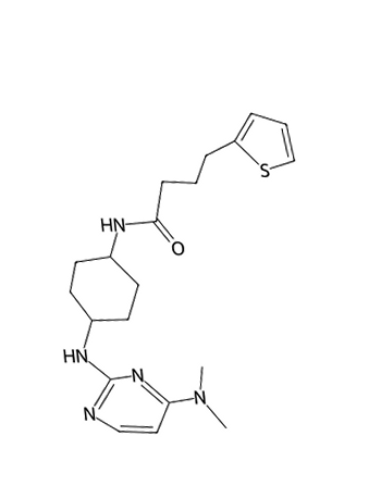 CN(C)c1ccnc(NC2CCC(NC(=O)CCCc3cccs3)CC2)n1